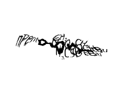 CCCCCc1ccc(-c2cc3ccc(OC(C)(S)CC(C)(C)OC(=O)C(C)(CC(C)(C)C)C(C)(C)C)cc3n2C)cc1